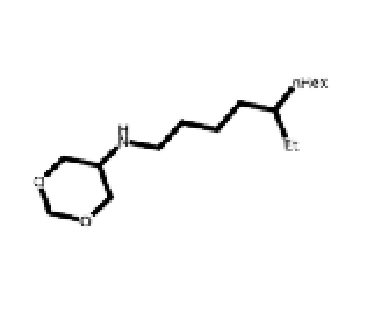 CCCCCCC(CC)CC[CH]CNC1COCOC1